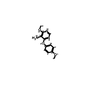 COc1ccc(Oc2ncnc(OC)c2N)cc1